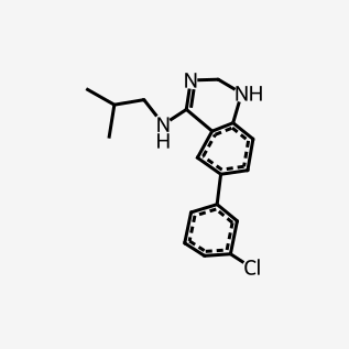 CC(C)CNC1=NCNc2ccc(-c3cccc(Cl)c3)cc21